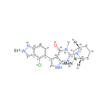 CCn1cc2c(Cl)c(-c3c[nH]c4nc(N5[C@H]6CCC[C@@H]5[C@H](NC)C6)n(C)c(=O)c34)ccc2n1